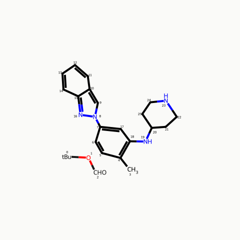 CC(C)(C)OC=O.Cc1ccc(-n2cc3ccccc3n2)cc1NC1CCNCC1